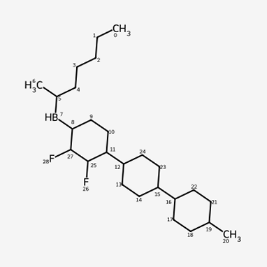 CCCCCC(C)BC1CCC(C2CCC(C3CCC(C)CC3)CC2)C(F)C1F